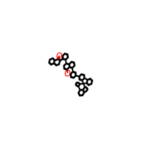 c1ccc2c(c1)-c1ccc(-c3ccc4c(c3)-c3cccc5c(-c6cccc7oc8c9ccccc9ccc8c67)ccc(c35)O4)cc1C21c2ccccc2-c2cccc3cccc1c23